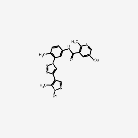 Cc1ccc(NC(=O)c2cc(C(C)(C)C)cnc2C)cc1-n1cc(-c2cnn(C(C)C)c2C)nn1